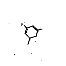 CC1C=C(Br)C=C(Cl)C1